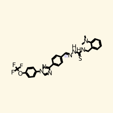 CN(C)c1ccccc1CNC(=S)N/N=C/c1ccc(-c2ncn(-c3ccc(OC(F)(F)F)cc3)n2)cc1